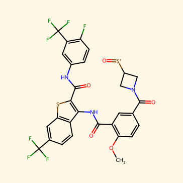 COc1ccc(C(=O)N2CC([S+]=O)C2)cc1C(=O)Nc1c(C(=O)Nc2ccc(F)c(C(F)(F)F)c2)sc2cc(C(F)(F)F)ccc12